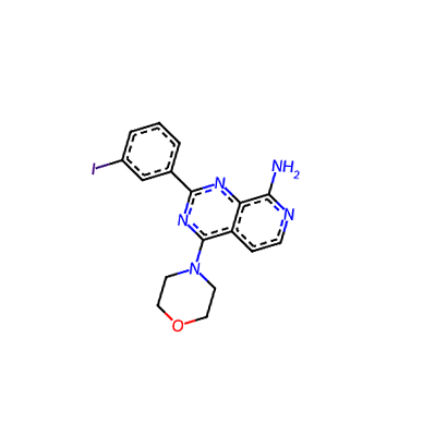 Nc1nccc2c(N3CCOCC3)nc(-c3cccc(I)c3)nc12